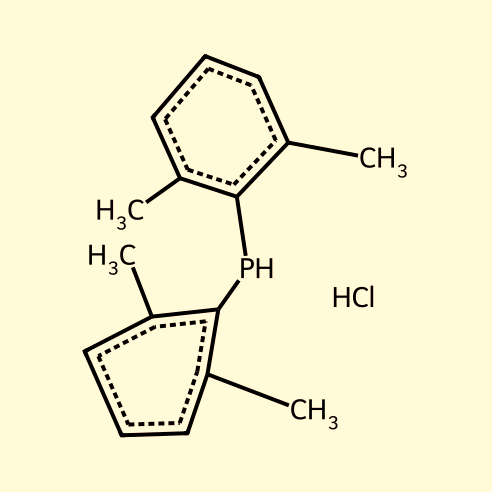 Cc1cccc(C)c1Pc1c(C)cccc1C.Cl